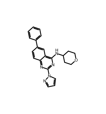 c1ccc(-c2ccc3nc(-n4cccn4)nc(NC4CCOCC4)c3c2)cc1